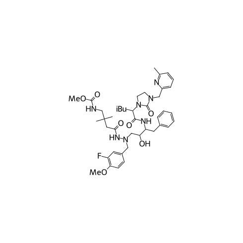 CCC(C)C(C(=O)NC(Cc1ccccc1)C(O)CN(Cc1ccc(OC)c(F)c1)NC(=O)CC(C)(C)CNC(=O)OC)N1CCN(Cc2cccc(C)n2)C1=O